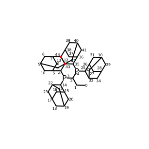 CCC(P(C1C2CC3CC(C2)CC1C3)C1C2CC3CC(C2)CC1C3)P(C1C2CC3CC(C2)CC1C3)C1C2CC3CC(C2)CC1C3